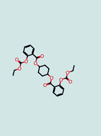 CCOC(=O)Oc1ccccc1C(=O)OC1CCC(OC(=O)c2ccccc2OC(=O)OCC)CC1